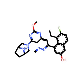 C=N/N=C(\C=C1/CC(N2CC3CCC(C2)N3)=NC(OC)=N1)c1cc(O)cc2ccc(F)c(CC)c12